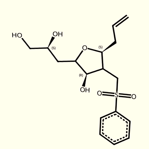 C=CC[C@@H]1OC(C[C@H](O)CO)[C@H](O)C1CS(=O)(=O)c1ccccc1